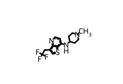 CN1CCC(Nc2ccnc3c(CC(F)(F)F)csc23)CC1